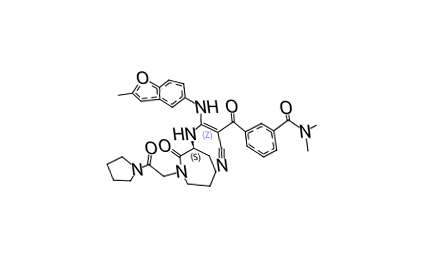 Cc1cc2cc(N/C(N[C@H]3CCCCN(CC(=O)N4CCCC4)C3=O)=C(/C#N)C(=O)c3cccc(C(=O)N(C)C)c3)ccc2o1